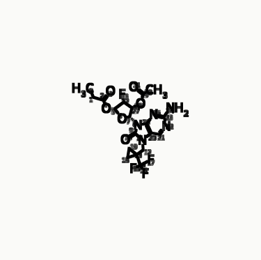 CCC(=O)O[C@H]1O[C@@H](n2c(=O)n(CC3(C(F)(F)F)CC3)c3cnc(N)nc32)[C@H](OC(C)=O)[C@H]1F